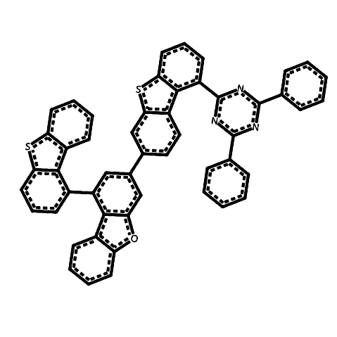 c1ccc(-c2nc(-c3ccccc3)nc(-c3cccc4sc5cc(-c6cc(-c7cccc8sc9ccccc9c78)c7c(c6)oc6ccccc67)ccc5c34)n2)cc1